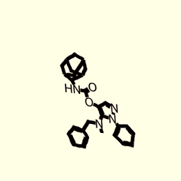 CN(Cc1ccccc1)c1c(OC(=O)NC2C3CC4CC(C3)CC2C4)cnn1-c1ccccc1